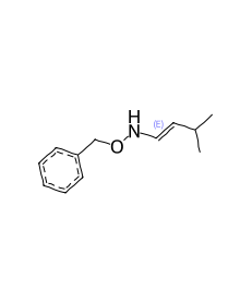 CC(C)/C=C/NOCc1ccccc1